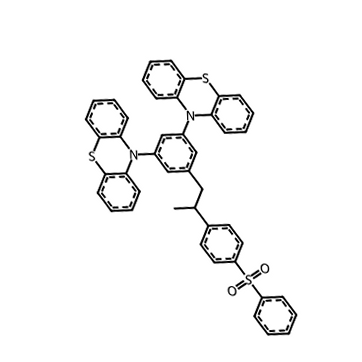 CC(Cc1cc(N2c3ccccc3Sc3ccccc32)cc(N2c3ccccc3Sc3ccccc32)c1)c1ccc(S(=O)(=O)c2ccccc2)cc1